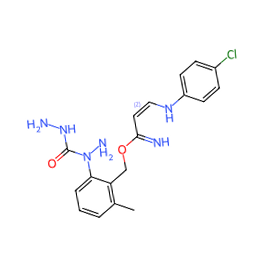 Cc1cccc(N(N)C(=O)NN)c1COC(=N)/C=C\Nc1ccc(Cl)cc1